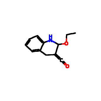 CCOC1Nc2ccccc2CC1=C=O